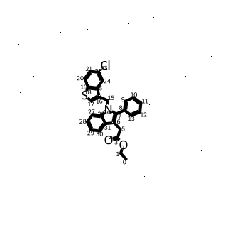 CCOC(=O)Cc1c(-c2ccccc2)n(Cc2csc3ccc(Cl)cc23)c2ccccc12